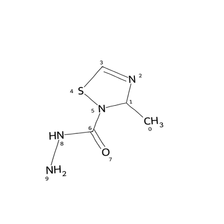 CC1N=CSN1C(=O)NN